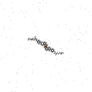 CC(C)CCCC(C)CCc1ccc(-c2ccc3c(ccc4sc5c(sc6ccc7c(c65)C=CC(c5ccc(CCC(C)CCCC(C)C)cc5)C7)c43)c2)cc1